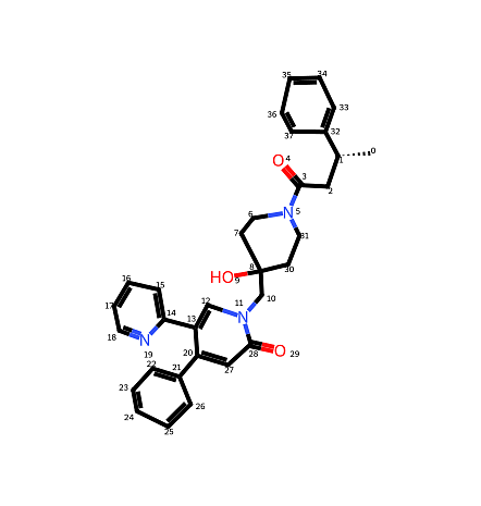 C[C@H](CC(=O)N1CCC(O)(Cn2cc(-c3ccccn3)c(-c3ccccc3)cc2=O)CC1)c1ccccc1